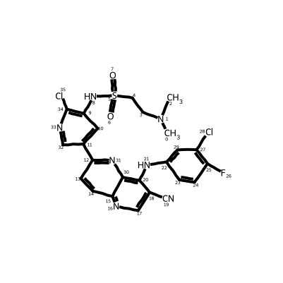 CN(C)CCS(=O)(=O)Nc1cc(-c2ccc3ncc(C#N)c(Nc4ccc(F)c(Cl)c4)c3n2)cnc1Cl